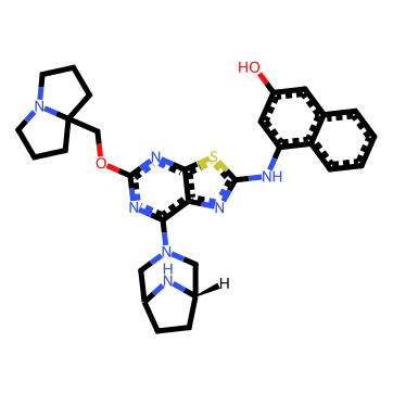 Oc1cc(Nc2nc3c(N4CC5CC[C@@H](C4)N5)nc(OCC45CCCN4CCC5)nc3s2)c2ccccc2c1